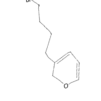 BrCCCCC1=CC=COC1